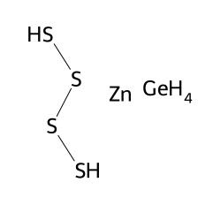 SSSS.[GeH4].[Zn]